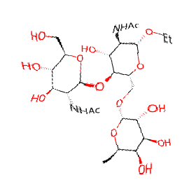 CCO[C@@H]1O[C@H](CO[C@H]2O[C@H](C)[C@H](O)[C@H](O)[C@H]2O)[C@@H](O[C@@H]2O[C@H](CO)[C@@H](O)[C@H](O)[C@H]2NC(C)=O)[C@H](O)[C@H]1NC(C)=O